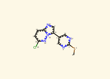 CSc1ncc(-c2cnc3ccc(Cl)nn23)cn1